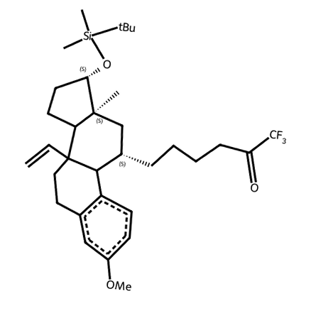 C=CC12CCc3cc(OC)ccc3C1[C@@H](CCCCC(=O)C(F)(F)F)C[C@@]1(C)C2CC[C@@H]1O[Si](C)(C)C(C)(C)C